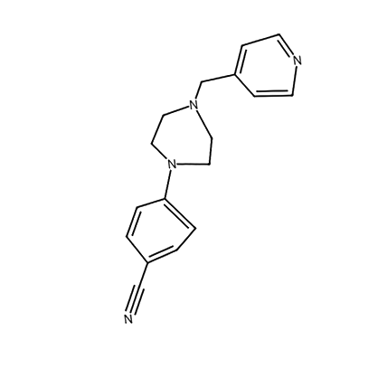 N#Cc1ccc(N2CCN(Cc3ccncc3)CC2)cc1